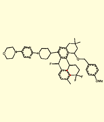 COc1ccc(COC2CC(C)(C)Cc3nc(C4CCN(c5ncc(N6CCOCC6)cn5)CC4)c(C(F)c4ccc(C)cc4)c(C4CCC(F)(F)CC4)c32)cc1